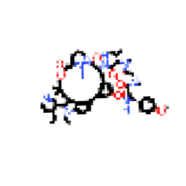 CCc1ccncc1-c1c2c3cc(ccc3n1CC)-c1cc(O)cc(c1)C[C@H](NC(=O)[C@H](C(C)C)N(C)C(=O)CN(C)C(=O)[C@@H]1N[C@H]1c1ccc(OC)cc1)C(=O)N1CCC[C@H](N1)C(=O)OCC(C)(C)C2